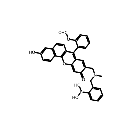 CN(Cc1ccccc1B(O)O)Cc1cc2c(-c3ccccc3OC=O)c3ccc4cc(O)ccc4c3oc-2cc1=O